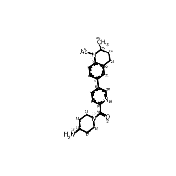 CC(=O)N1c2ccc(-c3ccc(C(=O)N4CCC(N)CC4)nc3)cc2CC[C@@H]1C